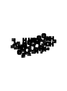 CN(C)[C@@H]1C(O)=C(C(N)=O)C(=O)[C@@]2(O)C(O)=C3C(=O)c4c(cc(F)c(C(=O)NCC(C)(C)C)c4O)C[C@H]3C[C@@H]12